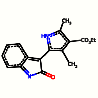 CCOC(=O)c1c(C)[nH]c(C2=c3ccccc3=NC2=O)c1C